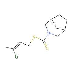 C/C(Cl)=C/CSC(=S)N1CC2CCC(CC2)C1